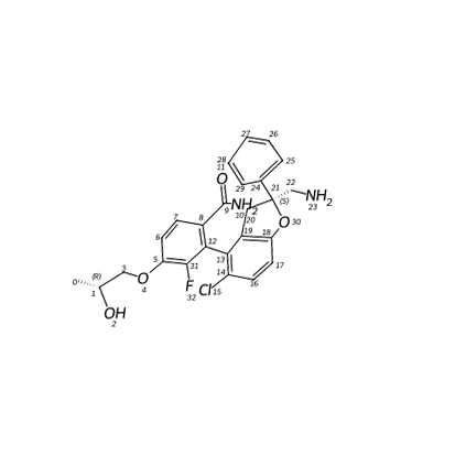 C[C@@H](O)COc1ccc(C(N)=O)c(-c2c(Cl)ccc3c2C[C@@](CN)(c2ccccc2)O3)c1F